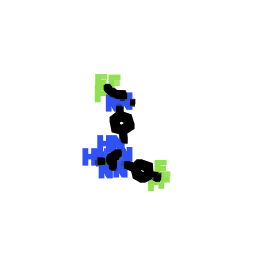 Cn1cc(C(F)(F)F)nc1-c1ccc(CNc2nc(-c3ccc(C(F)(F)F)cc3)nc3nc[nH]c23)cc1